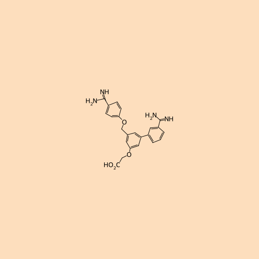 N=C(N)c1ccc(OCc2cc(OCC(=O)O)cc(-c3cccc(C(=N)N)c3)c2)cc1